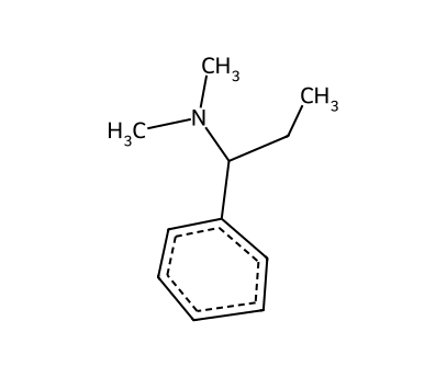 CCC(c1ccccc1)N(C)C